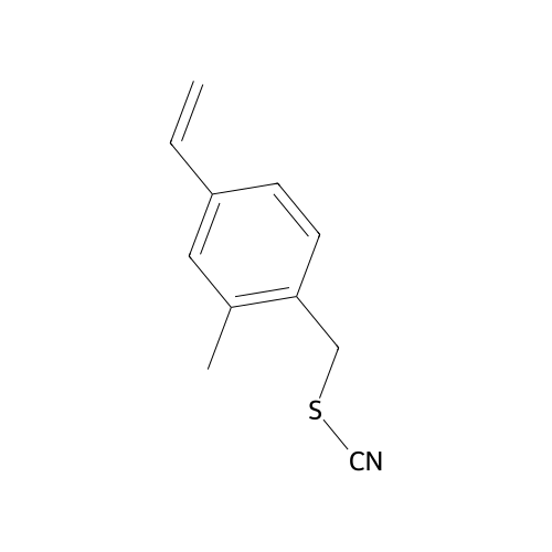 C=Cc1ccc(CSC#N)c(C)c1